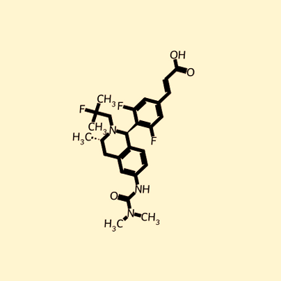 C[C@H]1Cc2cc(NC(=O)N(C)C)ccc2[C@H](c2c(F)cc(/C=C/C(=O)O)cc2F)N1CC(C)(C)F